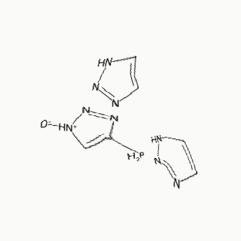 [O-][NH+]1C=C(P)N=N1.c1c[nH]nn1.c1c[nH]nn1